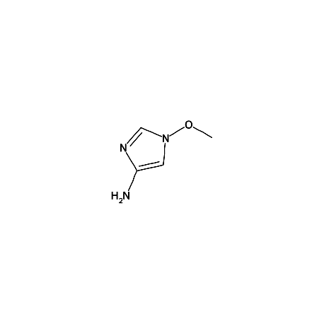 COn1cnc(N)c1